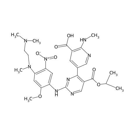 CNc1ncc(-c2nc(Nc3cc([N+](=O)[O-])c(N(C)CCN(C)C)cc3OC)ncc2C(=O)OC(C)C)cc1C(=O)O